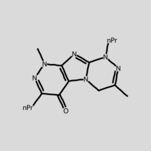 CCCc1nn(C)c2nc3n(c2c1=O)CC(C)=NN3CCC